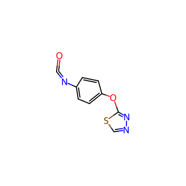 O=C=Nc1ccc(Oc2nncs2)cc1